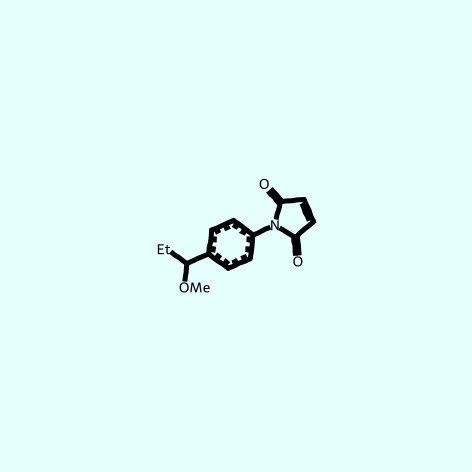 CCC(OC)c1ccc(N2C(=O)C=CC2=O)cc1